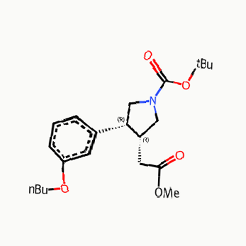 CCCCOc1cccc([C@@H]2CN(C(=O)OC(C)(C)C)C[C@@H]2CC(=O)OC)c1